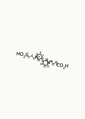 O=C(O)CCC[n+]1cccc(-c2ccc[n+](CCCC(=O)O)c2)c1